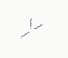 CC(C)CCCCCOP(SCCCCCC(C)C)SCCCCCC(C)C